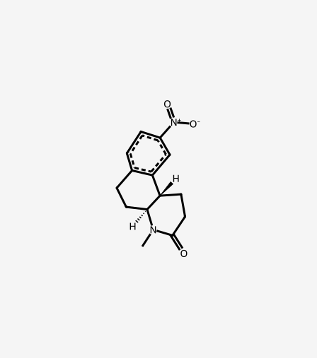 CN1C(=O)CC[C@H]2c3cc([N+](=O)[O-])ccc3CC[C@@H]21